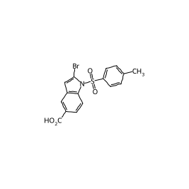 Cc1ccc(S(=O)(=O)n2c(Br)cc3cc(C(=O)O)ccc32)cc1